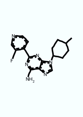 CC1CCC(n2cnc3c(N)nc(-c4ccncc4F)nc32)CC1